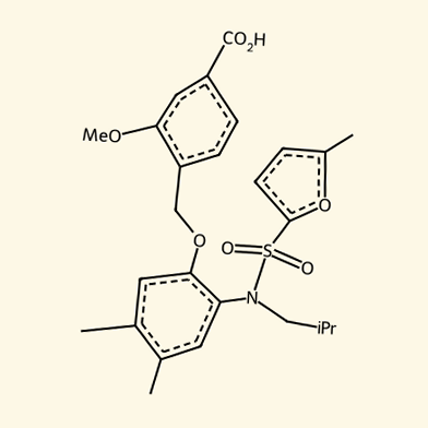 COc1cc(C(=O)O)ccc1COc1cc(C)c(C)cc1N(CC(C)C)S(=O)(=O)c1ccc(C)o1